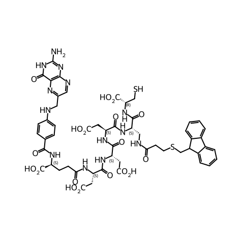 Nc1nc2ncc(CNc3ccc(C(=O)N[C@@H](CCC(=O)N[C@@H](CC(=O)O)C(=O)N[C@@H](CC(=O)O)C(=O)N[C@@H](CC(=O)O)C(=O)N[C@@H](CNC(=O)CCSCC4c5ccccc5-c5ccccc54)C(=O)N[C@@H](CS)C(=O)O)C(=O)O)cc3)nc2c(=O)[nH]1